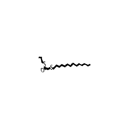 CCCCCCCCCCCCCCSCC(=O)SCCC